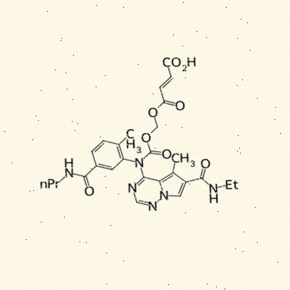 CCCNC(=O)c1ccc(C)c(N(C(=O)OCOC(=O)/C=C/C(=O)O)c2ncnn3cc(C(=O)NCC)c(C)c23)c1